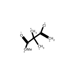 C=C(Cl)C(C)(C)C(=O)OC